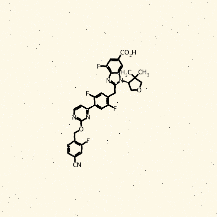 CC1(C)COC[C@H]1n1c(Cc2cc(F)c(-c3ccnc(OCc4ccc(C#N)cc4F)n3)cc2F)nc2c(F)cc(C(=O)O)cc21